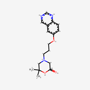 CC1(C)CN(CCCOc2ccc3ncncc3c2)CC(=O)O1